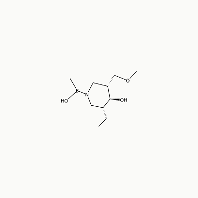 CC[C@@H]1CN(B(C)O)C[C@H](COC)[C@H]1O